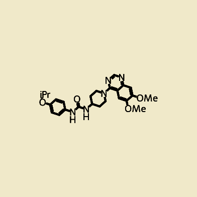 COc1cc2ncnc(N3CCC(NC(=O)Nc4ccc(OC(C)C)cc4)CC3)c2cc1OC